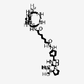 C[C@@H](NC(=O)c1ccc(NNC(=O)CCCCCC(=O)NC23CNCCNCC(N)(CNCCNC2)CNCCNC3)cc1)C(=O)N1CCC[C@H]1B(O)O